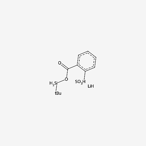 CC(C)(C)[SiH2]OC(=O)c1ccccc1S(=O)(=O)O.[LiH]